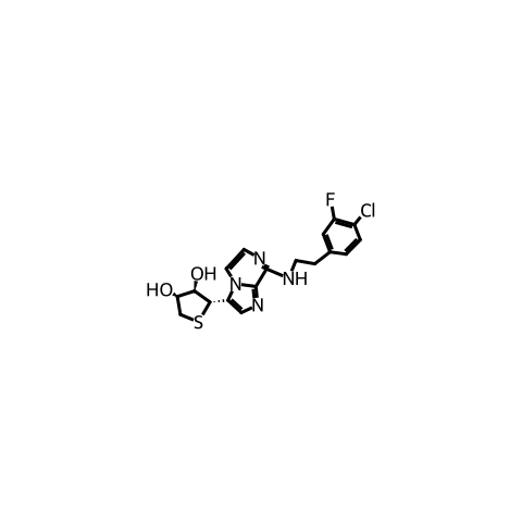 O[C@@H]1[C@H](O)CS[C@H]1c1cnc2c(NCCc3ccc(Cl)c(F)c3)nccn12